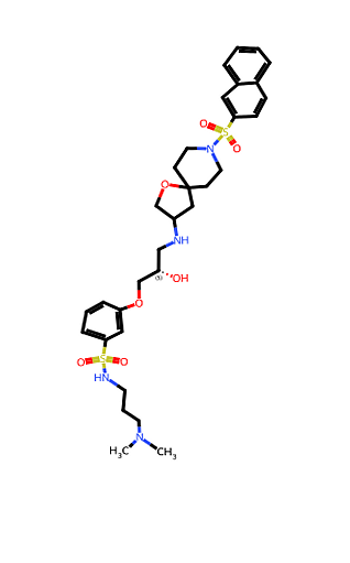 CN(C)CCCNS(=O)(=O)c1cccc(OC[C@@H](O)CNC2COC3(CCN(S(=O)(=O)c4ccc5ccccc5c4)CC3)C2)c1